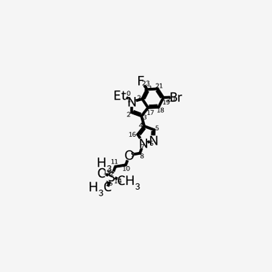 CCn1cc(-c2cnn(COCCS(C)(C)C)c2)c2cc(Br)cc(F)c21